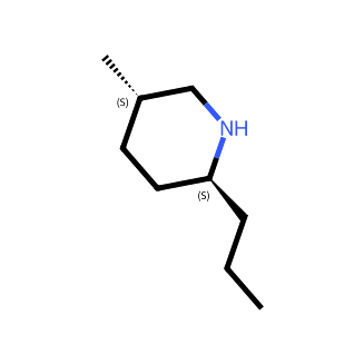 CCC[C@H]1CC[C@H](C)CN1